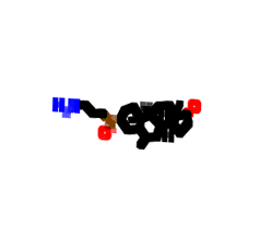 CC1C[C@@H]2[C@@H](CC[C@]3(C)C(=O)CC[C@@H]23)[C@@]2(C)CCC([S+]([O-])CCCN)CC12